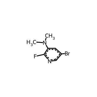 CN(C)c1cc(Br)cnc1F